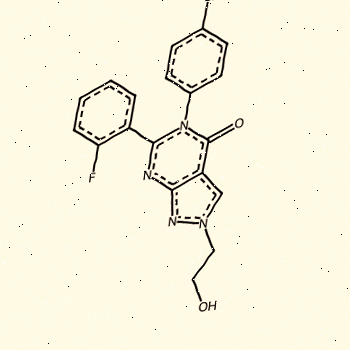 O=c1c2cn(CCO)nc2nc(-c2ccccc2F)n1-c1ccc(Br)cc1